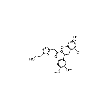 COc1ccc([C@H](Cc2c(Cl)c[n+]([O-])cc2Cl)OC(=O)Cc2ccc(CCO)s2)cc1OC